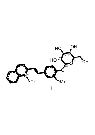 COc1cc(C=Cc2ccc3ccccc3[n+]2C)ccc1O[C@@H]1O[C@H](CO)[C@H](O)[C@H](O)[C@H]1O.[I-]